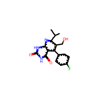 CC(C)c1nc2[nH]c(=O)[nH]c(=O)c2c(-c2ccc(F)cc2)c1CO